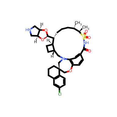 C[C@@H]1[C@@H](C)CCC[C@@H]([C@H]2O[C@H]3CNC[C@H]3O2)[C@@H]2CC[C@H]2CN2C[C@@]3(CCCc4cc(Cl)ccc43)COc3ccc(cc32)C(=O)NS1(=O)=O